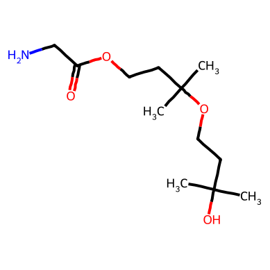 CC(C)(O)CCOC(C)(C)CCOC(=O)CN